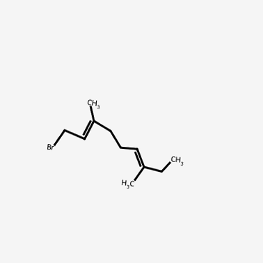 CCC(C)=CCCC(C)=CCBr